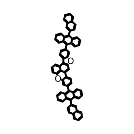 c1ccc2cc(-c3c4ccccc4c(-c4ccc5c(c4)Oc4cccc6c4c-5cc4oc5cc(-c7c8ccccc8c(-c8ccc9ccccc9c8)c8ccccc78)ccc5c46)c4ccccc34)ccc2c1